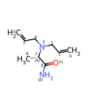 C=CCN(CC=C)[C@@H](C)C(N)=O